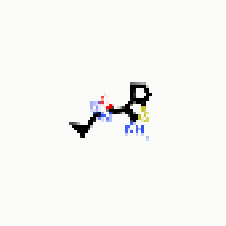 NC1=C(c2nc(C3CC3)no2)C2CCCC2S1